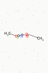 CCCCCCCCCC[C@H]1CO[C@H](CCc2ccc(-c3ccc(OCCCCCCC)c(F)c3)nc2)OC1